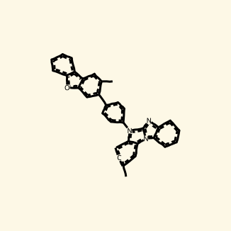 Cc1ccc2c(c1)n1c3ccccc3nc1n2-c1ccc(-c2cc3oc4ccccc4c3cc2C)cc1